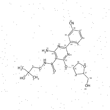 CC(C)(O)CONC(=O)c1c(N)nc(-c2cccc(C#N)c2)nc1O[C@@H]1COC(CO)C1